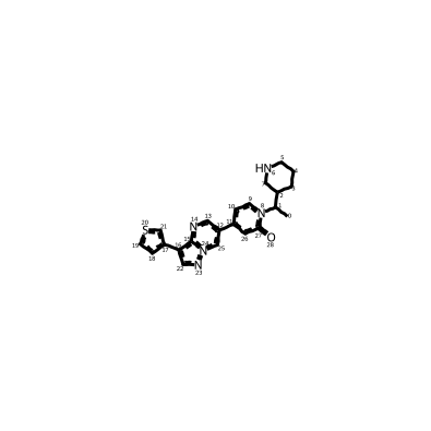 CC(C1CCCNC1)n1ccc(-c2cnc3c(-c4ccsc4)cnn3c2)cc1=O